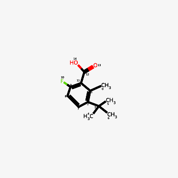 Cc1c(C(C)(C)C)ccc(F)c1C(=O)O